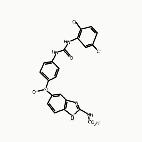 O=C(O)Nc1nc2cc([S+]([O-])c3ccc(NC(=O)Nc4cc(Cl)ccc4Cl)cc3)ccc2[nH]1